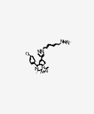 Cc1nnc2n1-c1ccc(-c3cnn(CCCCCCN=[N+]=[N-])c3)cc1C(c1ccc(Cl)cc1)=N[C@H]2C